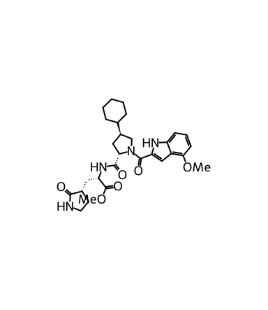 COC(=O)[C@H](C[C@@H]1CCNC1=O)NC(=O)[C@@H]1C[C@@H](C2CCCCC2)CN1C(=O)c1cc2c(OC)cccc2[nH]1